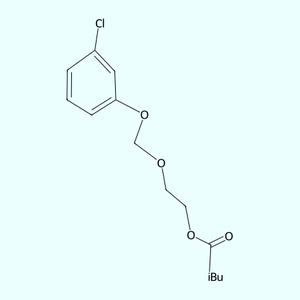 CCC(C)C(=O)OCCOCOc1cccc(Cl)c1